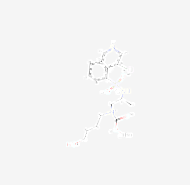 C[C@@H](CN(CCCCO)C(=O)OC(C)(C)C)NS(=O)(=O)c1cccc2cncc(Cl)c12